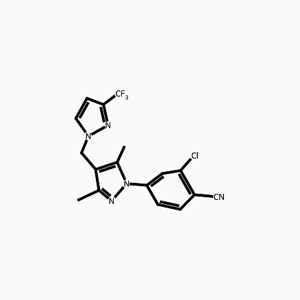 Cc1nn(-c2ccc(C#N)c(Cl)c2)c(C)c1Cn1ccc(C(F)(F)F)n1